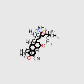 CCCC(C)(C)CC[C@@](C)(CC[C@]1(C)CC(=O)C[C@@H]2[C@@]3(C)C=C(C#N)C(=O)C(C)(C)[C@@H]3CC[C@]21C)C(=O)N(C)C